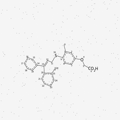 Cc1cc(OCC(=O)O)ccc1SCC=C(c1ccccc1)c1ccccc1I